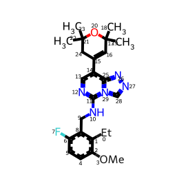 CCc1c(OC)ccc(F)c1CNc1ncc(C2=CC(C)(C)OC(C)(C)C2)c2nncn12